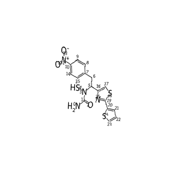 NC(=O)N(S)C(Cc1ccc([N+](=O)[O-])cc1)c1csc(-c2cccs2)n1